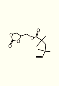 C=CC(C)(C)CC(C)(C)C(=O)OCC1COC(=O)O1